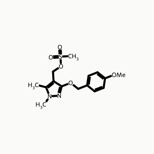 COc1ccc(COc2nn(C)c(C)c2COS(C)(=O)=O)cc1